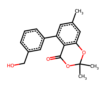 Cc1cc2c(c(-c3cccc(CO)c3)c1)C(=O)OC(C)(C)O2